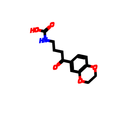 O=C(O)NCCCC(=O)c1ccc2c(c1)OCCO2